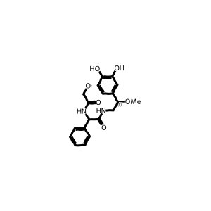 CO[C@@H](CNC(=O)C(NC(=O)C[O])c1ccccc1)c1ccc(O)c(O)c1